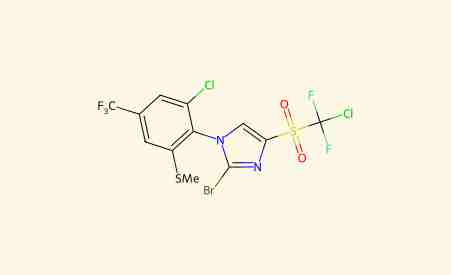 CSc1cc(C(F)(F)F)cc(Cl)c1-n1cc(S(=O)(=O)C(F)(F)Cl)nc1Br